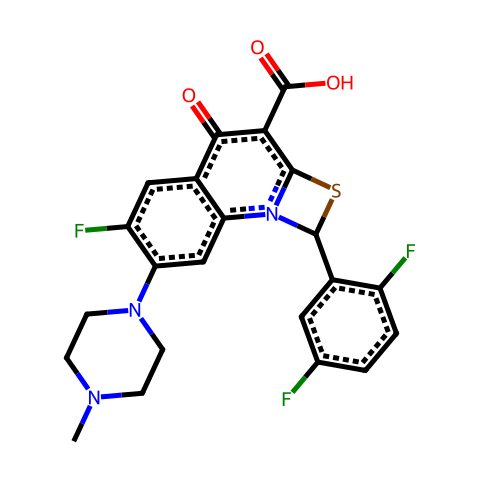 CN1CCN(c2cc3c(cc2F)c(=O)c(C(=O)O)c2n3C(c3cc(F)ccc3F)S2)CC1